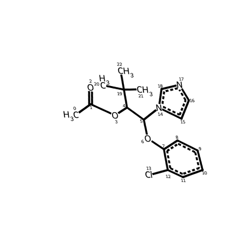 CC(=O)OC(C(Oc1ccccc1Cl)n1ccnc1)C(C)(C)C